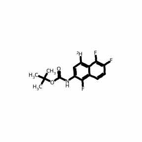 [2H]c1cc(NC(=O)OC(C)(C)C)c(F)c2ccc(F)c(F)c12